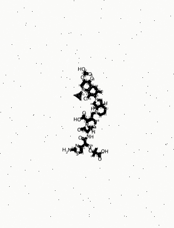 CC(C)(ON=C(C(=O)N[C@@H]1C(=O)N2C(C(=O)O)=C(CN3CCC[C@H]4CN(c5c(F)cc6c(=O)c(OC(=O)O)cn(C7CC7)c6c5Cl)C[C@H]43)CS[C@H]12)c1csc(N)n1)C(=O)O